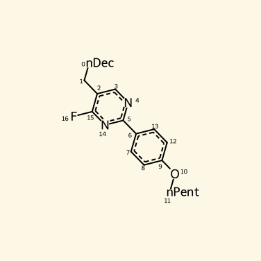 CCCCCCCCCCCc1cnc(-c2ccc(OCCCCC)cc2)nc1F